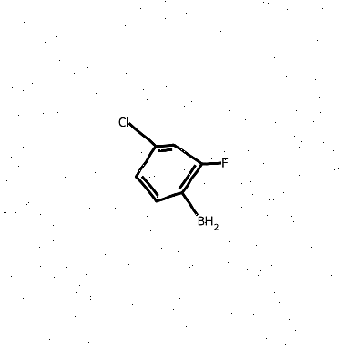 Bc1ccc(Cl)cc1F